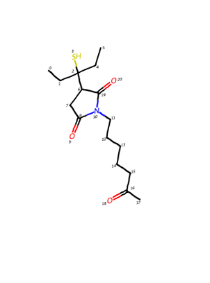 CCC(S)(CC)C1CC(=O)N(CCCCCC(C)=O)C1=O